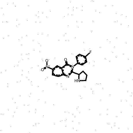 O=c1c2cc([N+](=O)[O-])ccc2nc(C2CCCN2)n1-c1ccc(F)cc1